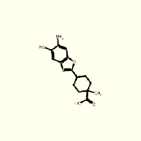 CC1(C(=O)O)CCC(c2nc3cc(O)c(N)cc3o2)CC1